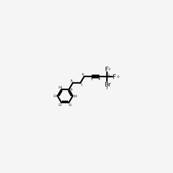 FC(F)(Br)C#CCCCc1ccccc1